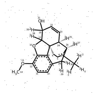 [2H]C([2H])([2H])N1CC[C@]23c4c5ccc(OC)c4OC2([2H])C([2H])(O)C=C[C@@]3([2H])[C@@]1([2H])C5([2H])[2H]